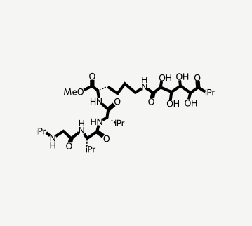 COC(=O)[C@H](CCCCNC(=O)C(O)C(O)C(O)C(O)C(=O)C(C)C)NC(=O)[C@@H](NC(=O)[C@@H](NC(=O)CNC(C)C)C(C)C)C(C)C